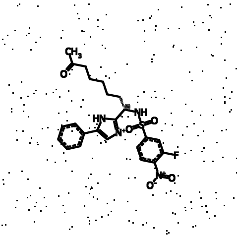 CC(=O)CCCCC[C@H](NS(=O)(=O)c1ccc([N+](=O)[O-])c(F)c1)C1=[N+]C=C(c2ccccc2)N1